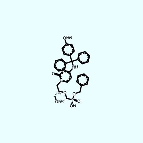 COC[C@H](Cn1ccc(NC(c2ccccc2)(c2ccccc2)c2ccc(OC)cc2)nc1=O)OCP(=O)(O)OCc1ccccc1